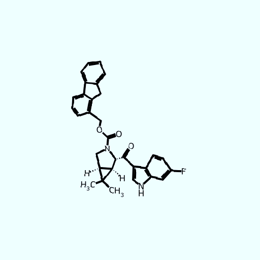 CC1(C)[C@@H]2[C@@H](C(=O)c3c[nH]c4cc(F)ccc34)N(C(=O)OCc3cccc4c3Cc3ccccc3-4)C[C@@H]21